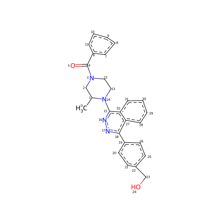 CC1CN(C(=O)c2ccccc2)CCN1c1nnc(-c2ccc(CO)cc2)c2ccccc12